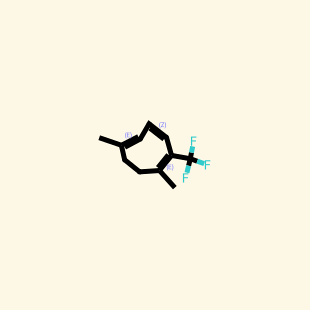 C\C1=C/C=C\C(C(F)(F)F)=C(\C)CC1